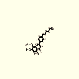 COc1c(O)cc(O)c2c(=O)cc(-c3ccc(CCCCCBr)cc3)oc12